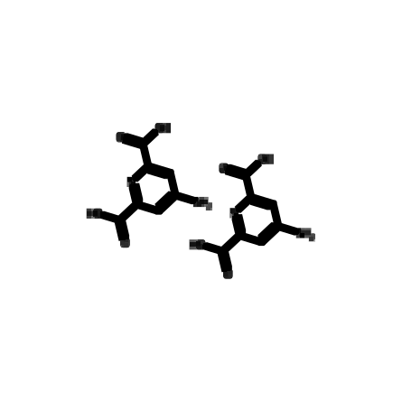 Nc1cc(C(=O)O)nc(C(=O)O)c1.Nc1cc(C(=O)O)nc(C(=O)O)c1